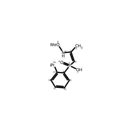 CONC(C)=CP(=O)(O)c1ccccc1C(C)C